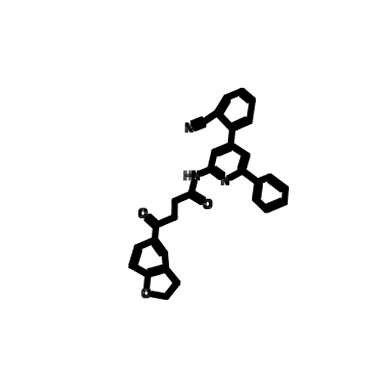 N#Cc1ccccc1-c1cc(NC(=O)CCC(=O)c2ccc3c(c2)CCO3)nc(-c2ccccc2)c1